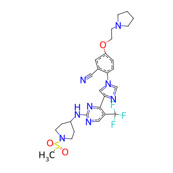 CS(=O)(=O)N1CCC(Nc2ncc(C(F)(F)F)c(-c3cn(-c4ccc(OCCN5CCCC5)cc4C#N)cn3)n2)CC1